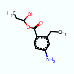 CCc1cc(N)ccc1C(=O)OC(O)CC